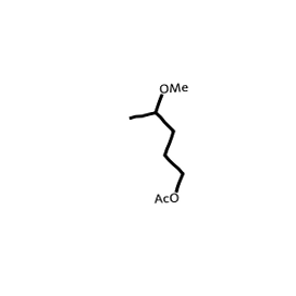 COC(C)CCCOC(C)=O